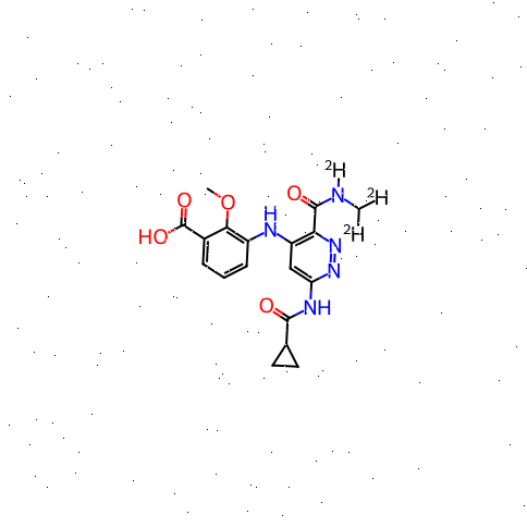 [2H]C([2H])N([2H])C(=O)c1nnc(NC(=O)C2CC2)cc1Nc1cccc(C(=O)O)c1OC